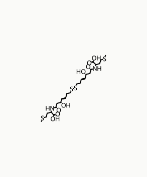 CSCCC(NC(=O)CC(O)/C=C/CCSSCC/C=C/C(O)CC(=O)NC(CCSC)C(=O)O)C(=O)O